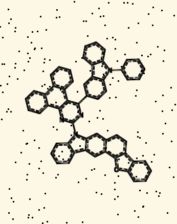 c1ccc(-n2c3ccccc3c3cc(-c4nc(-n5c6ccccc6c6cc7c(ccc8c9ccccc9oc78)cc65)nc5c6ccccc6c6ccccc6c45)ccc32)cc1